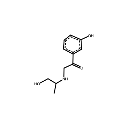 CC(CO)NCC(=O)c1cccc(O)c1